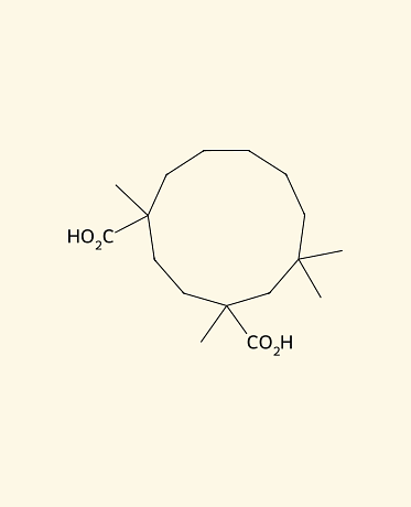 CC1(C)CCCCCC(C)(C(=O)O)CCC(C)(C(=O)O)C1